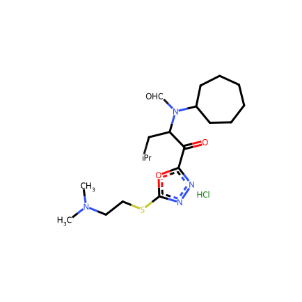 CC(C)CC(C(=O)c1nnc(SCCN(C)C)o1)N(C=O)C1CCCCCC1.Cl